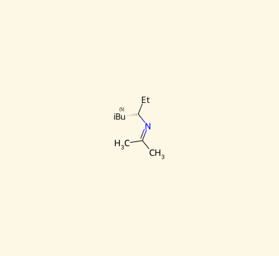 CCC(N=C(C)C)[C@@H](C)CC